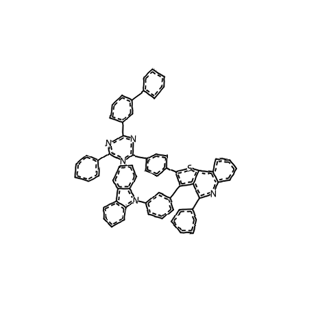 c1ccc(-c2cccc(-c3nc(-c4ccccc4)nc(-c4ccc(-c5sc6c(c(-c7ccccc7)nc7ccccc76)c5-c5cccc(-n6c7ccccc7c7ccccc76)c5)cc4)n3)c2)cc1